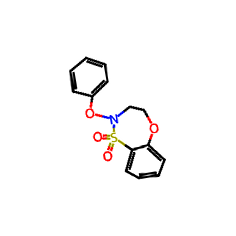 O=S1(=O)c2ccccc2OCCN1Oc1ccccc1